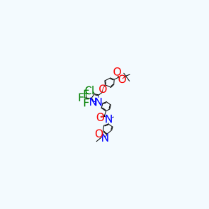 Cc1nc2ccc(N(C)C(=O)c3cccc(-n4nc(C(F)(F)F)c(Cl)c4COc4ccc(C(=O)OC(C)(C)C)cc4)c3)cc2o1